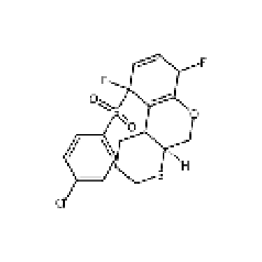 O=S(=O)(c1ccc(Cl)cc1)C1(F)C=CC(F)C2=C1C1CCCS[C@@H]1CO2